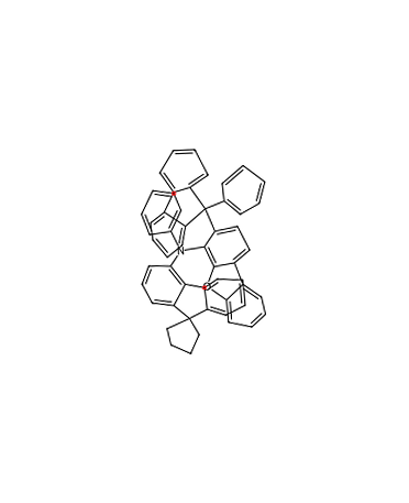 c1ccc(N(c2cccc3c2-c2ccccc2C32CCCC2)c2c(C3(c4ccccc4)c4ccccc4-c4ccccc43)ccc3c2oc2ccccc23)cc1